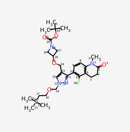 CN1C(=O)CCc2c1ccc(-c1nn(COCC[Si](C)(C)C)cc1COC1CN(C(=O)OC(C)(C)C)C1)c2F